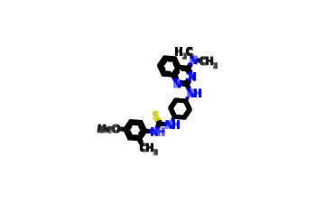 COc1ccc(NC(=S)N[C@H]2CC[C@@H](Nc3nc(N(C)C)c4ccccc4n3)CC2)c(C)c1